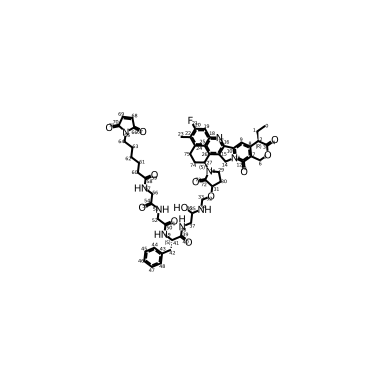 CC[C@H]1C(=O)OCc2c1cc1n(c2=O)Cc2c-1nc1cc(F)c(C)c3c1c2[C@@H](N1CCC(OCNC(O)CNC(=O)[C@H](Cc2ccccc2)NC(=O)CNC(=O)CNC(=O)CCCCCN2C(=O)C=CC2=O)C1=O)CC3